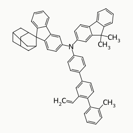 C=Cc1cc(-c2ccc(N(c3ccc4c(c3)-c3ccccc3C43C4CC5CC(C4)CC3C5)c3ccc4c(c3)C(C)(C)c3ccccc3-4)cc2)ccc1-c1ccccc1C